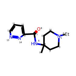 CCN1CCC(C)(NC(=O)c2cccnn2)CC1